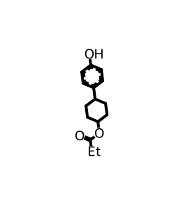 CCC(=O)OC1CCC(c2ccc(O)cc2)CC1